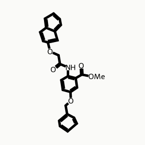 COC(=O)c1cc(OCc2ccccc2)ccc1NC(=O)COc1ccc2ccccc2c1